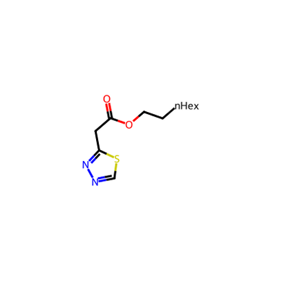 CCCCCCCCOC(=O)Cc1nncs1